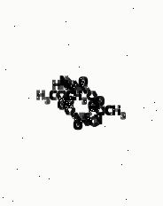 Cc1ccc(C)c(S(=O)(=O)c2ccc(CNC(=O)c3cc4ccncc4s3)cc2)c1.Cc1ccc(F)c(S(=O)(=O)c2ccc(CNC(=O)c3cnc4[nH]ncc4c3)cc2)c1